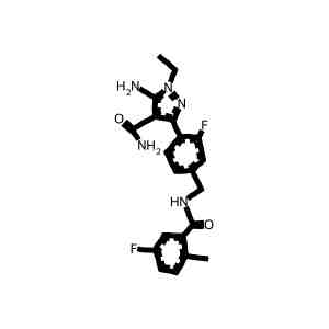 CCn1nc(-c2ccc(CNC(=O)c3cc(F)ccc3C)cc2F)c(C(N)=O)c1N